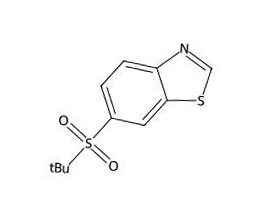 CC(C)(C)S(=O)(=O)c1ccc2ncsc2c1